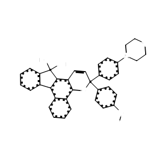 COc1ccc(C2(c3ccc(N4CCOCC4)cc3)C=Cc3c4c(c5ccccc5c3O2)-c2ccccc2C4(C)C)cc1